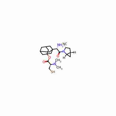 CN(C)[C@@H](CS)C(=O)OC12CC3CC(C1)CC([C@H](N)C(=O)N1[C@H](C#N)C[C@@H]4C[C@@H]41)(C3)C2